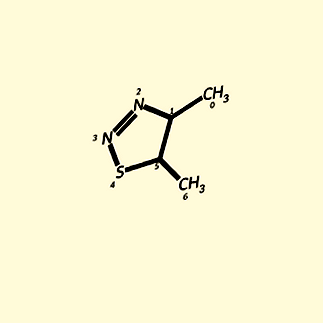 CC1N=NSC1C